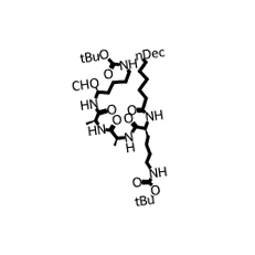 CCCCCCCCCCCCCCCC(=O)N[C@@H](CCCCNC(=O)OC(C)(C)C)C(=O)N[C@@H](C)C(=O)N[C@@H](C)C(=O)N[C@H](C=O)CCCCNC(=O)OC(C)(C)C